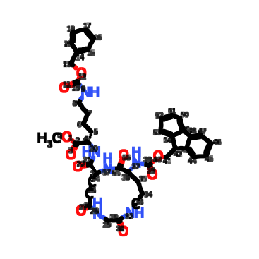 COC(=O)[C@H](CCCCNC(=O)OCc1ccccc1)NC(=O)[C@@H]1CCC(=O)NCC(=O)NCCC[C@H](NC(=O)OCC2c3ccccc3-c3ccccc32)C(=O)N1